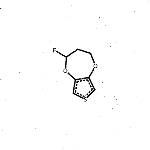 FC1CCOc2cscc2O1